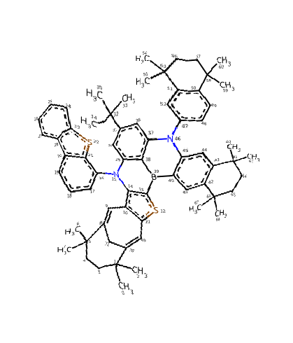 CC1(C)CCC(C)(C)C2=Cc3c(sc4c3N(c3cccc5c3sc3ccccc35)c3cc(C(C)(C)C)cc5c3B4c3cc4c(cc3N5c3ccc5c(c3)C(C)(C)CCC5(C)C)C(C)(C)CCC4(C)C)C=C1C2